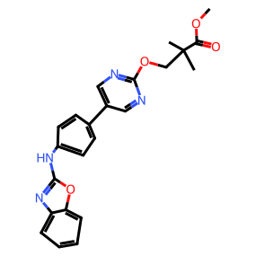 COC(=O)C(C)(C)COc1ncc(-c2ccc(Nc3nc4ccccc4o3)cc2)cn1